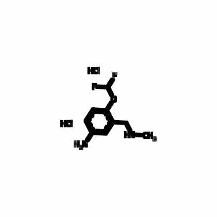 CNCc1cc(N)ccc1OC(F)F.Cl.Cl